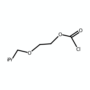 CC(C)COCCOC(=O)Cl